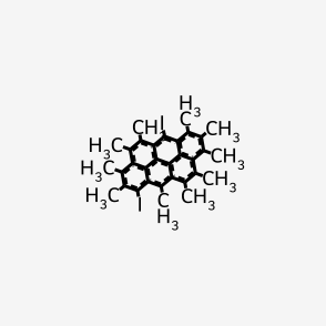 Cc1c(C)c2c(C)c(C)c3c(C)c4c(I)c(C)c(C)c5c(C)c(C)c6c(I)c(c1C)c2c3c6c54